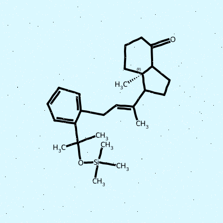 CC(=CCc1ccccc1C(C)(C)O[Si](C)(C)C)C1CCC2C(=O)CCC[C@@]21C